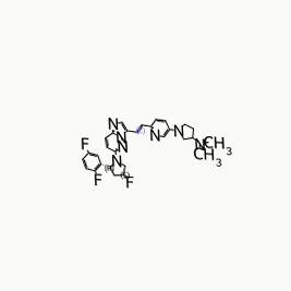 CN(C)C1CCN(c2ccc(/C=C/c3cnc4ccc(N5C[C@@H](F)C[C@@H]5c5cc(F)ccc5F)nn34)nc2)C1